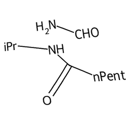 CCCCCC(=O)NC(C)C.NC=O